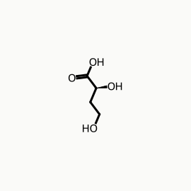 O=C(O)[C@@H](O)CCO